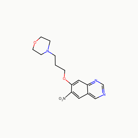 O=[N+]([O-])c1cc2cncnc2cc1OCCCN1CCOCC1